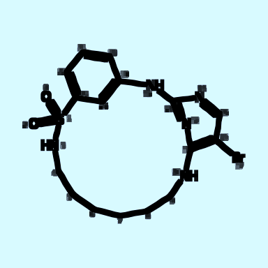 O=S1(=O)NCCCCCCNc2nc(ncc2Br)Nc2cccc1c2